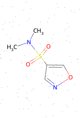 CN(C)S(=O)(=O)c1cnoc1